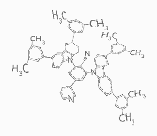 Cc1cc(C)cc(C2=Cc3c(n(-c4cc(-c5cccnc5)cc(-n5c6ccc(-c7cc(C)cc(C)c7)cc6c6cc(-c7cc(C)cc(C)c7)ccc65)c4C#N)c4ccc(-c5cc(C)cc(C)c5)cc34)CC2)c1